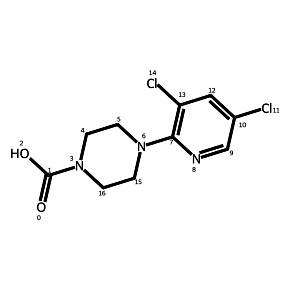 O=C(O)N1CCN(c2ncc(Cl)cc2Cl)CC1